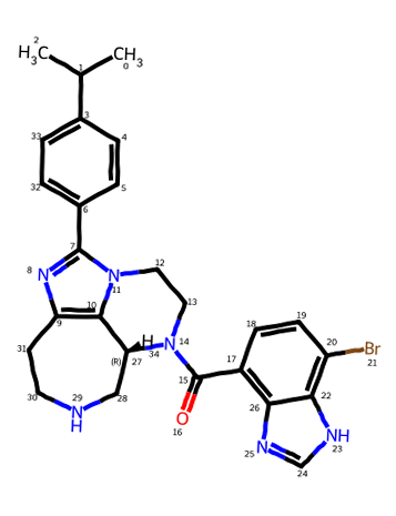 CC(C)c1ccc(-c2nc3c4n2CCN(C(=O)c2ccc(Br)c5[nH]cnc25)[C@@H]4CNCC3)cc1